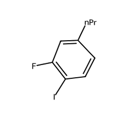 CCCc1ccc(I)c(F)c1